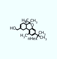 CCCCCCC(C)(C)c1cc(C)c2c(c1)OC(C)(C)[C@@H]1CC=C(CO)CC21